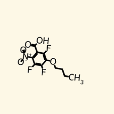 CCCCOc1c(F)c(F)c([N+](=O)[O-])c(C(=O)O)c1F